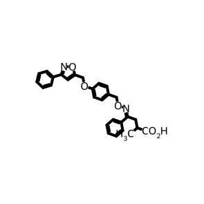 CC(CC(=NOCc1ccc(OCc2cc(-c3ccccc3)no2)cc1)c1ccccc1)C(=O)O